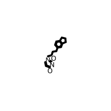 O=c1ccn2c(n1)OC(CCc1ccc3c(c1)CCC3)C2